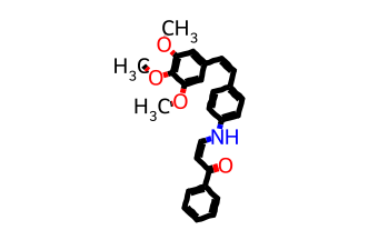 COc1cc(/C=C\c2ccc(N/C=C\C(=O)c3ccccc3)cc2)cc(OC)c1OC